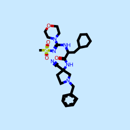 CS(=O)(=O)/N=C(/NC(CC1CCCCC1)C(=O)NC1(C#N)CCN(Cc2ccccc2)C1)N1CCOCC1